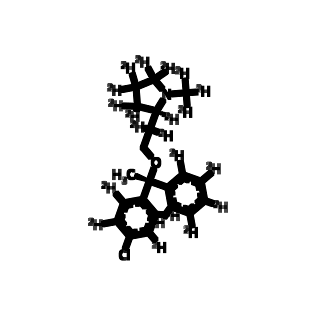 [2H]c1c([2H])c([2H])c([C@@](C)(OCC([2H])([2H])[C@]2([2H])N(C([2H])([2H])[2H])C([2H])([2H])C([2H])([2H])C2([2H])[2H])c2c([2H])c([2H])c(Cl)c([2H])c2[2H])c([2H])c1[2H]